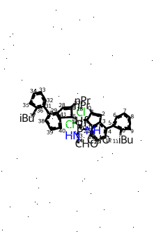 CCCC1=Cc2c(-c3ccccc3C(C)CC)cccc2[CH]1[Hf]([Cl])([Cl])([B](NC=O)NC=O)[CH]1C(CCC)=Cc2c(-c3ccccc3C(C)CC)cccc21